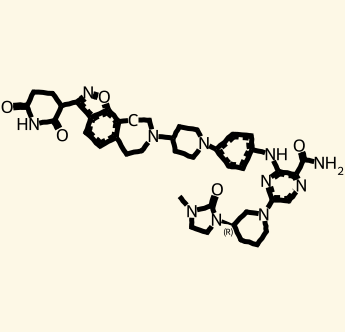 CN1CCN([C@@H]2CCCN(c3cnc(C(N)=O)c(Nc4ccc(N5CCC(N6CCc7ccc8c(C9CCC(=O)NC9=O)noc8c7CC6)CC5)cc4)n3)C2)C1=O